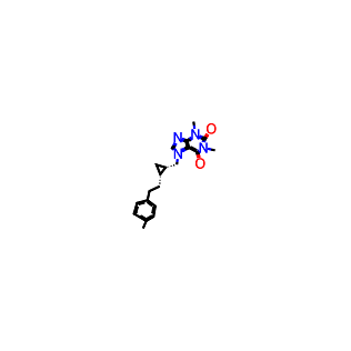 Cc1ccc(CC[C@@H]2C[C@@H]2Cn2cnc3c2c(=O)n(C)c(=O)n3C)cc1